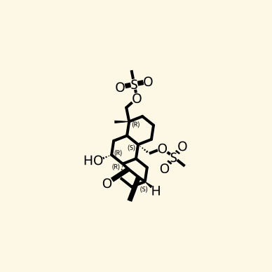 C=C1C(=O)[C@]23CC[C@H]1CC2[C@]1(COS(C)(=O)=O)CCC[C@@](C)(COS(C)(=O)=O)C1C[C@H]3O